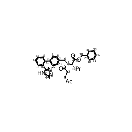 CC(=O)CCC(=O)N(Cc1ccc(-c2ccccc2-c2nnn[nH]2)cc1)[C@H](C(=O)OCc1ccccc1)C(C)C